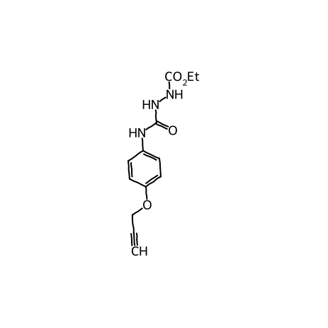 C#CCOc1ccc(NC(=O)NNC(=O)OCC)cc1